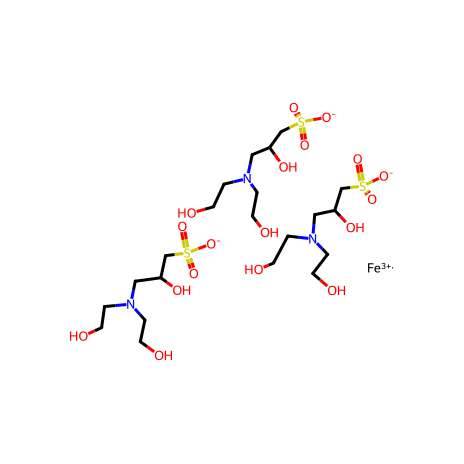 O=S(=O)([O-])CC(O)CN(CCO)CCO.O=S(=O)([O-])CC(O)CN(CCO)CCO.O=S(=O)([O-])CC(O)CN(CCO)CCO.[Fe+3]